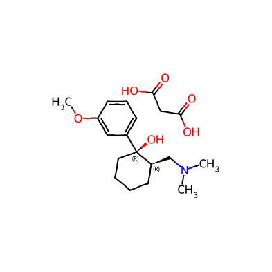 COc1cccc([C@@]2(O)CCCC[C@@H]2CN(C)C)c1.O=C(O)CC(=O)O